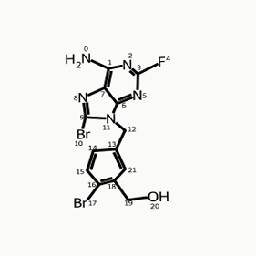 Nc1nc(F)nc2c1nc(Br)n2Cc1ccc(Br)c(CO)c1